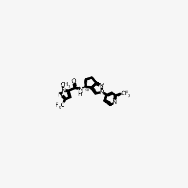 Cn1nc(C(F)(F)F)cc1C(=O)N[C@H]1CCc2nn(-c3ccnc(C(F)(F)F)c3)cc21